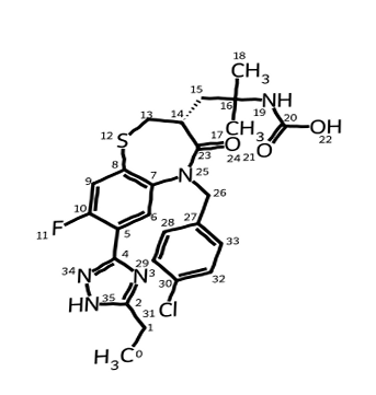 CCc1nc(-c2cc3c(cc2F)SC[C@H](CC(C)(C)NC(=O)O)C(=O)N3Cc2ccc(Cl)cc2)n[nH]1